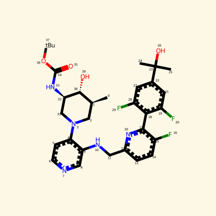 C[C@H]1CN(c2ccncc2NCc2ccc(F)c(-c3c(F)cc(C(C)(C)O)cc3F)n2)C[C@@H](NC(=O)OC(C)(C)C)[C@@H]1O